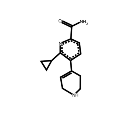 NC(=O)c1ccc(C2=CCNCC2)c(C2CC2)n1